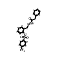 O=C(Cc1ccccc1)N/N=C/c1ccccc1OS(=O)(=O)c1ccc(C(F)(F)F)cc1